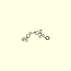 CC(C)(C)OC(=O)N1CCC(OCCN2CCC(NC(=O)OCc3ccccc3)CC2)CC1